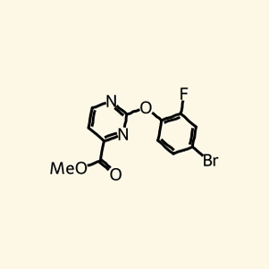 COC(=O)c1ccnc(Oc2ccc(Br)cc2F)n1